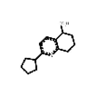 O=C(O)C1CCCc2nc(C3CCCC3)ccc21